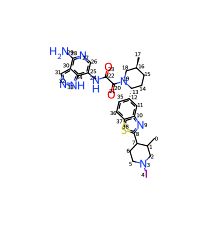 CC1CN(I)CCC1c1nc2cc([C@H]3CC[C@H](C)CN3C(=O)C(=O)Nc3cnc(N)c4cn[nH]c34)ccc2s1